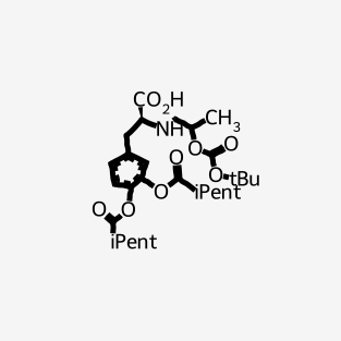 CCCC(C)C(=O)Oc1ccc(C[C@H](NCC(C)OC(=O)OC(C)(C)C)C(=O)O)cc1OC(=O)C(C)CCC